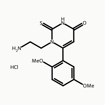 COc1ccc(OC)c(-c2cc(=O)[nH]c(=S)n2CCN)c1.Cl